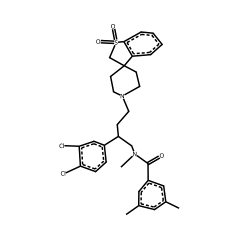 Cc1cc(C)cc(C(=O)N(C)CC(CCN2CCC3(CC2)CS(=O)(=O)c2ccccc23)c2ccc(Cl)c(Cl)c2)c1